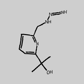 CC(C)(O)c1cccc(CNN=N)n1